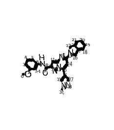 COc1cccc(NC(=O)c2cc3nc(N4Cc5ccccc5C4)cc(-c4cnn(C)c4)n3n2)c1